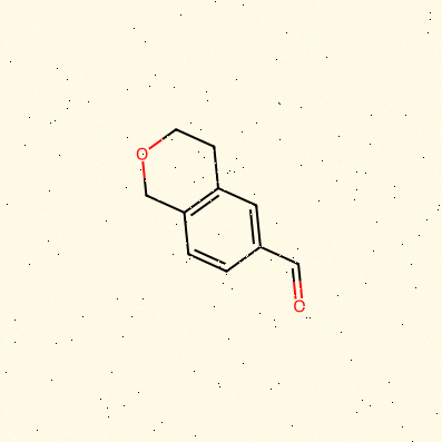 O=Cc1ccc2c(c1)CCOC2